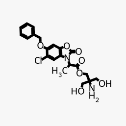 CC(C(=O)OCC(N)(CO)CO)n1c(=O)oc2cc(OCc3ccccc3)c(Cl)cc21